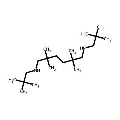 CC(C)(C)CNCC(C)(C)CCC(C)(C)CNCC(C)(C)C